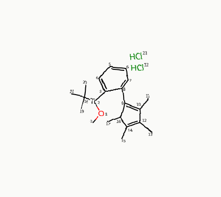 C[O][Ti]([c]1ccccc1C1=C(C)C(C)=C(C)C1C)[C](C)(C)C.Cl.Cl